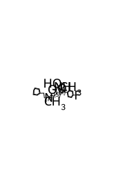 CO[C@H](C[C@H](CCN(C)CCc1ccccc1)C(=O)NO)c1ccc(F)cc1